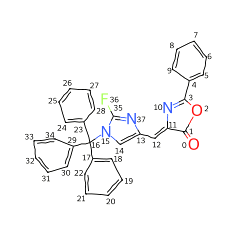 O=C1OC(c2ccccc2)=NC1=Cc1cn(C(c2ccccc2)(c2ccccc2)c2ccccc2)c(F)n1